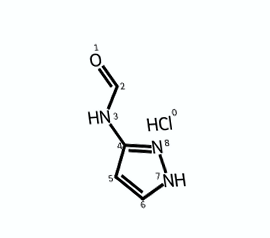 Cl.O=CNc1cc[nH]n1